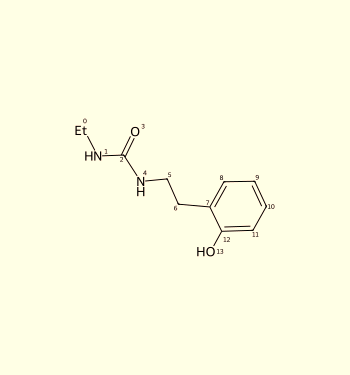 CCNC(=O)NCCc1ccccc1O